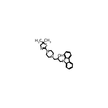 CC1(C)CN=C(N2CCN(CC(O)Cn3c4ccccc4c4ccccc43)CC2)S1